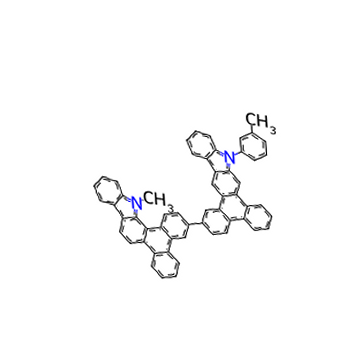 Cc1cccc(-n2c3ccccc3c3cc4c5cc(-c6ccc7c(c6)c6ccccc6c6ccc8c9ccccc9n(C)c8c67)ccc5c5ccccc5c4cc32)c1